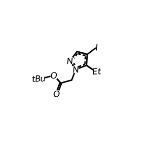 CCc1c(I)cnn1CC(=O)OC(C)(C)C